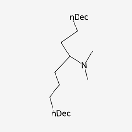 CCCCCCCCCCCCCC(CCCCCCCCCCCC)N(C)C